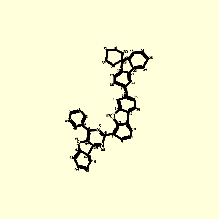 c1ccc(-c2nc(-c3cccc4c3oc3cc(-c5ccc6c(c5)-c5ccccc5C65CCCCC5)ccc34)nc3c2sc2ccccc23)cc1